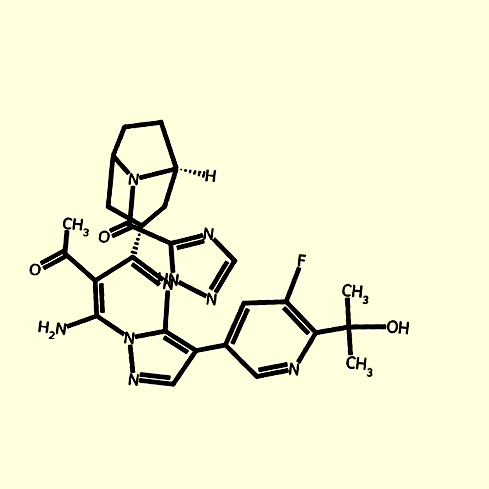 CC(=O)c1c([C@@H]2CC3CC[C@@H](C2)N3C(=O)c2ncn[nH]2)nc2c(-c3cnc(C(C)(C)O)c(F)c3)cnn2c1N